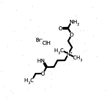 CCOC(=N)CCC[N+](C)(C)CCOC(N)=O.Cl.[Br-]